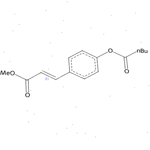 CCCCC(=O)Oc1ccc(/C=C/C(=O)OC)cc1